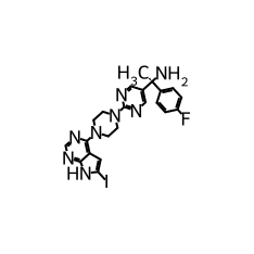 C[C@](N)(c1ccc(F)cc1)c1cnc(N2CCN(c3ncnc4[nH]c(I)cc34)CC2)nc1